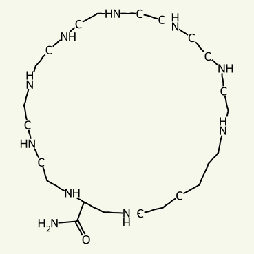 NC(=O)C1CNCCCCCCNCCNCCNCCNCCNCCNCCNCCN1